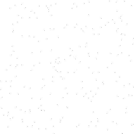 C[Si](C)(Cl)CS